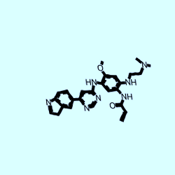 C=CC(=O)Nc1cc(Nc2cc(-c3ccc4c(c3)CC=N4)ncn2)c(OC)cc1NCCN(C)C